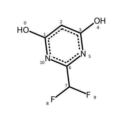 Oc1cc(O)nc(C(F)F)n1